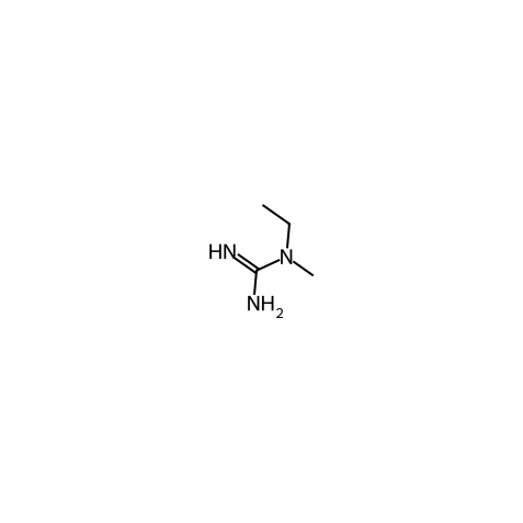 CCN(C)C(=N)N